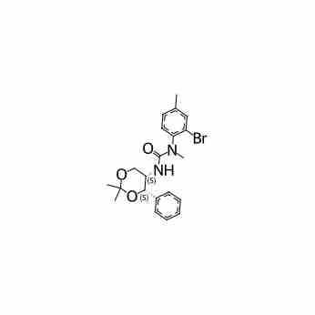 Cc1ccc(N(C)C(=O)N[C@H]2COC(C)(C)O[C@H]2c2ccccc2)c(Br)c1